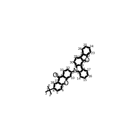 CC(C)(C)c1ccc2oc3cc(-n4c5ccccc5c5c6oc7ccccc7c6ccc54)ccc3c(=O)c2c1